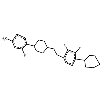 Cc1ccc(C2CCC(CCc3ccc(C4CCCCC4)c(F)c3F)CC2)c(F)c1